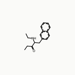 CCNC(Cc1ccc2ccccc2c1)C(=O)CC